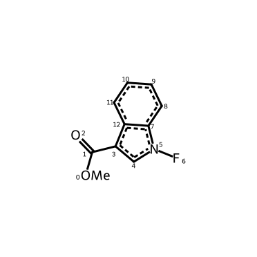 COC(=O)c1cn(F)c2ccccc12